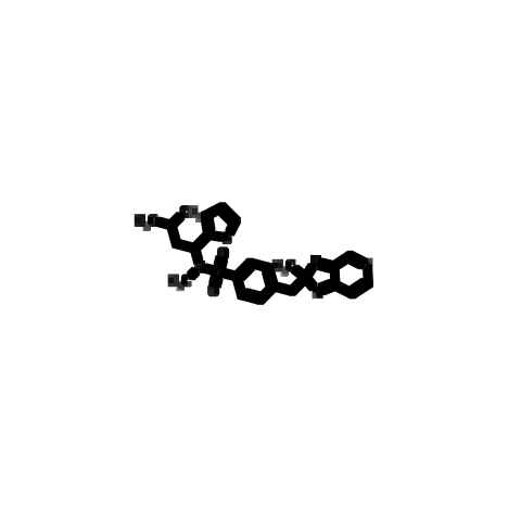 CC(C)CC(c1cccs1)N(C)S(=O)(=O)c1ccc(CC2(C)N=c3ccncc3=N2)cc1